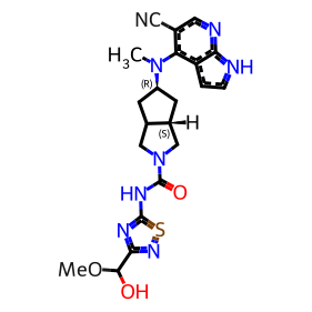 COC(O)c1nsc(NC(=O)N2CC3C[C@@H](N(C)c4c(C#N)cnc5[nH]ccc45)C[C@@H]3C2)n1